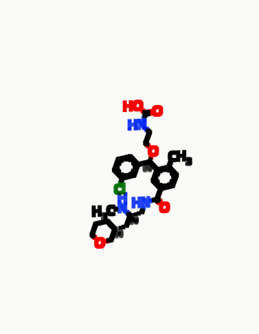 CN[C@H](CNC(=O)c1ccc(C)c([C@@H](OCCNC(=O)O)c2cccc(Cl)c2)c1)C[C@H]1CCCOC1